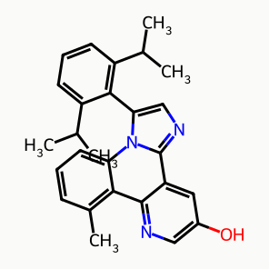 Cc1cccc2c1c1ncc(O)cc1c1ncc(-c3c(C(C)C)cccc3C(C)C)n21